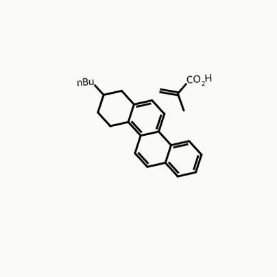 C=C(C)C(=O)O.CCCCC1CCc2c(ccc3c2ccc2ccccc23)C1